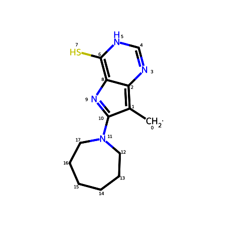 [CH2]c1c2nc[nH]c(S)c-2nc1N1CCCCCC1